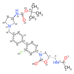 CC(=O)NC[C@H]1CN(c2ccc(-c3ccc(CN4CC[C@@H](NC(=O)OC(C)(C)C)C4)cc3)c(F)c2)C(=O)O1